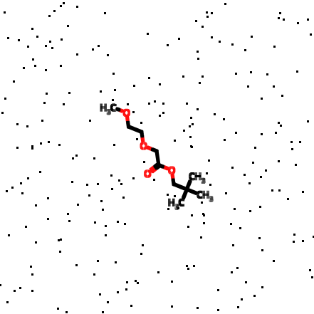 COCCOCC(=O)OCC(C)(C)C